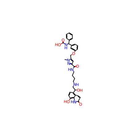 Cn1nc(C(=O)NCCCCNCC(O)c2ccc(O)c3[nH]c(=O)ccc23)cc1COc1cccc(C(NC(=O)O)c2ccccc2)c1